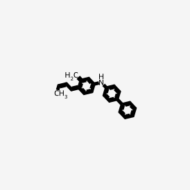 C=c1cc(Nc2ccc(-c3ccccc3)cc2)cc/c1=C/C=C\C